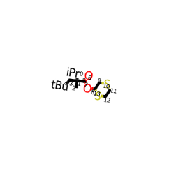 CC(C)C(C)(CC(C)(C)C)C(=O)OC1CSCCS1